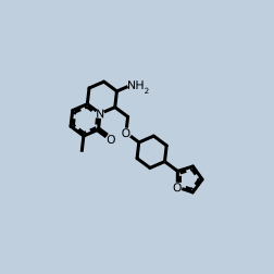 Cc1ccc2n(c1=O)C(COC1CCC(c3ccco3)CC1)C(N)CC2